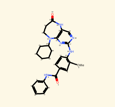 COc1cc(C(=O)Nc2ccccc2)ccc1Nc1ncc2c(n1)N(C1CCCCC1)CCC(=O)N2